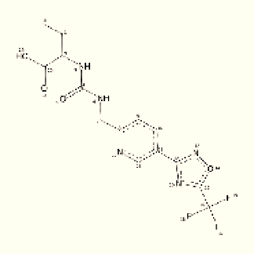 CCC(NC(=O)NCc1ccc(-c2noc(C(F)(F)F)n2)cn1)C(=O)O